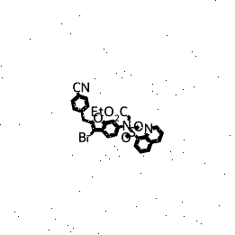 CCOC(=O)CN(c1ccc2c(Br)c(Cc3ccc(C#N)cc3)oc2c1)S(=O)(=O)c1cccc2cccnc12